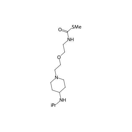 CSC(=O)NCCOCCN1CCC(NC(C)C)CC1